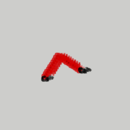 O=C(O)O.O=C(O)O.O=C(O)O.O=C(O)O.O=C(O)O.O=C(O)O.O=C(O)O.O=C(O)O.O=C(O)O.O=C(O)O.O=C(O)O.O=C(O)O.O=C(O)O.O=C(O)O.O=C(O)O.O=C([O-])[O-].O=C([O-])[O-].O=C([O-])[O-].O=C([O-])[O-].O=C([O-])[O-].[Ca+2].[Ca+2].[Ca+2].[Ca+2].[Ca+2]